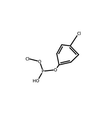 OP(OCl)Oc1ccc(Cl)cc1